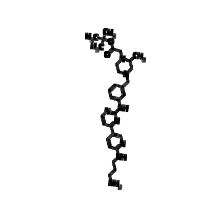 CC1CN(Cc2cccc(Nc3nccc(-c4ccc(NCCCN)nc4)n3)c2)CCN1CC(=O)OC(C)(C)C